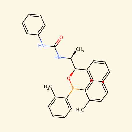 Cc1ccccc1P(O[C@H](c1ccccc1)[C@H](C)NC(=O)Nc1ccccc1)c1ccccc1C